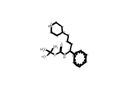 CC(C)(C)OC(=O)NC(CCCC1CCNCC1)c1ccccc1